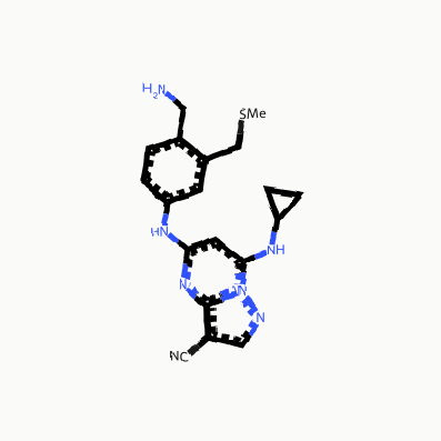 CSCc1cc(Nc2cc(NC3CC3)n3ncc(C#N)c3n2)ccc1CN